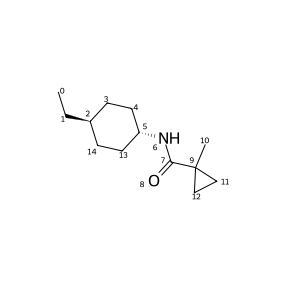 CC[C@H]1CC[C@H](NC(=O)C2(C)CC2)CC1